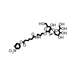 O=C(CCCCC(=O)Oc1ccc([N+](=O)[O-])cc1)NCCCOC1OC(CO)C(O)C2=C1SC[C@]1(CC(O)C(O)[C@@H]([C@H](O)CO)O1)O2